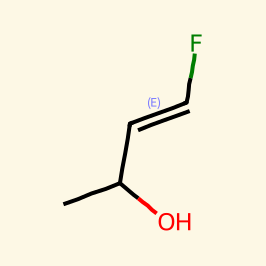 CC(O)/C=C/F